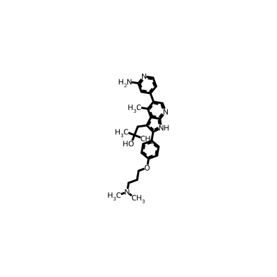 Cc1c(-c2ccnc(N)c2)cnc2[nH]c(-c3ccc(OCCCN(C)C)cc3)c(CC(C)(C)O)c12